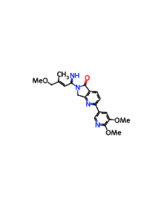 COC/C(C)=C/C(=N)N1Cc2nc(-c3cnc(OC)c(OC)c3)ccc2C1=O